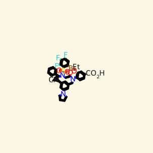 CCOc1cc(C(=O)O)ccc1N(Cc1cc(C2CC2)cc(N2CCCC2)c1)C(=O)CN(Cc1ccccc1C#N)S(=O)(=O)c1c(Br)cc(F)c(F)c1F